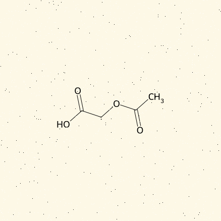 CC(=O)O[CH]C(=O)O